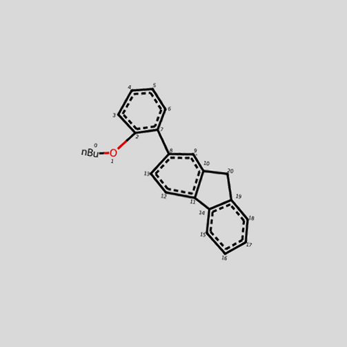 CCCCOc1ccccc1-c1[c]c2c(cc1)-c1ccccc1C2